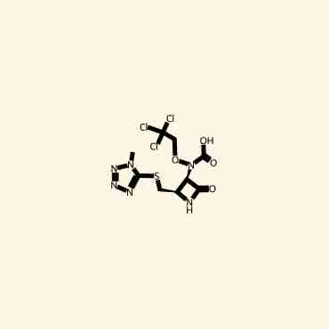 Cn1nnnc1SC[C@@H]1NC(=O)[C@@H]1N(OCC(Cl)(Cl)Cl)C(=O)O